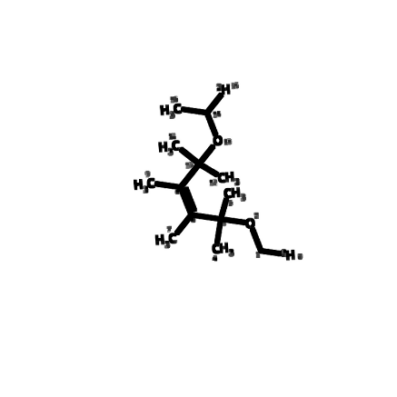 [2H]COC(C)(C)/C(C)=C(/C)C(C)(C)OC([2H])C